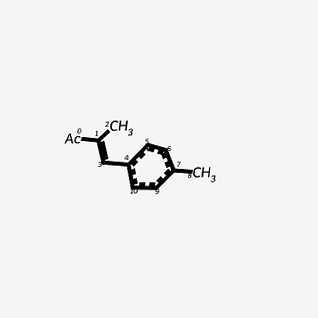 CC(=O)/C(C)=C/c1ccc(C)cc1